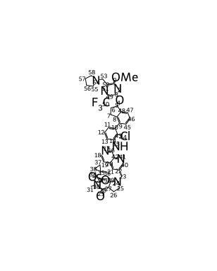 COc1nc(O[C@@H]2CCc3c(-c4cccc(Nc5nccc6cc(CN7CC[C@@H](C(=O)N(C)S(=O)(=O)C8(C)CC8)C7)cnc56)c4Cl)cccc32)c(C(F)(F)F)nc1CN1CCCC1